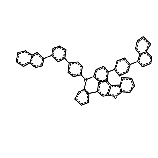 c1cc(-c2ccc(N(c3ccc(-c4ccc(-c5cccc6ccccc56)cc4)cc3)c3ccccc3-c3ccc4c(c3)oc3ccccc34)cc2)cc(-c2ccc3ccccc3c2)c1